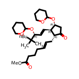 CCCCC(C)(C)[C@@H](C=C[C@H]1[C@H](OC2CCCCO2)CC(=O)[C@@H]1CC=CCCCC(=O)OC)OC1CCCCO1